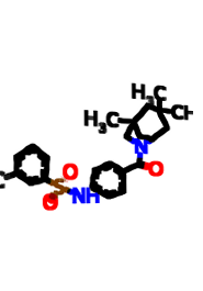 CC1(C)CC2CC(C)(CN2C(=O)c2ccc(NS(=O)(=O)c3cccc(C(F)(F)F)c3)cc2)C1